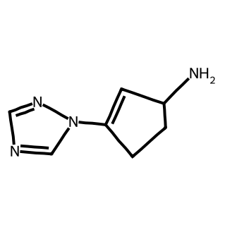 NC1C=C(n2cncn2)CC1